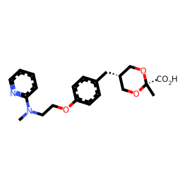 CN(CCOc1ccc(C[C@H]2CO[C@@](C)(C(=O)O)OC2)cc1)c1ccccn1